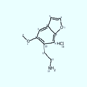 COc1cc2ccoc2cc1CCN.Cl